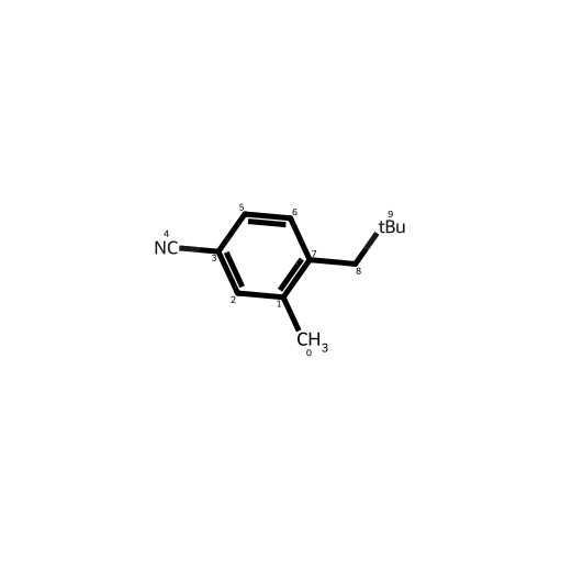 Cc1cc(C#N)ccc1CC(C)(C)C